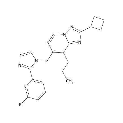 CCCc1c(Cn2ccnc2-c2cccc(F)n2)ncn2nc(C3CCC3)nc12